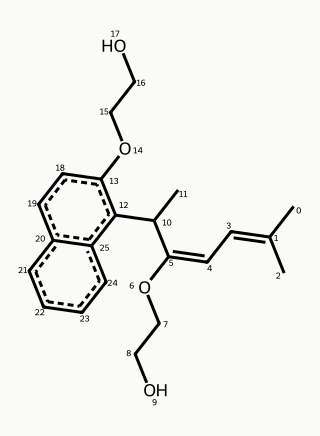 CC(C)=C/C=C(/OCCO)C(C)c1c(OCCO)ccc2ccccc12